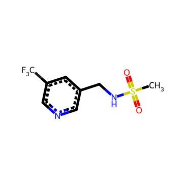 CS(=O)(=O)NCc1cncc(C(F)(F)F)c1